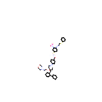 O=C(NS(=O)(=O)c1ccc(NCCSc2ccccc2)c([N+](=O)[O-])c1)c1ccc(N2CCC(Cc3ccccc3-c3ccccc3)(OCCN3CCOCC3)CC2)cc1